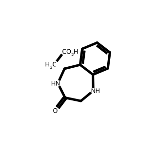 CC(=O)O.O=C1CNc2ccccc2CN1